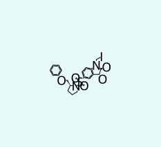 O=C1C(=O)N(CI)c2ccc(S(=O)(=O)N3CCC[C@H]3COc3ccccc3)cc21